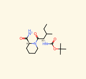 CCC(C)[C@H](NC(=O)OC(C)(C)C)C(=O)N1CCCC[C@H]1C(N)=O